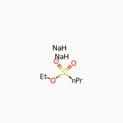 CCCS(=O)(=O)OCC.[NaH].[NaH]